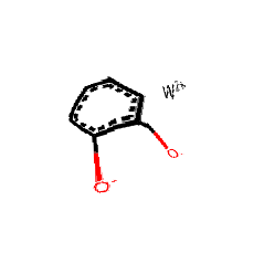 [O-]c1ccccc1[O-].[W+2]